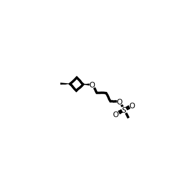 CS(=O)(=O)OCCCO[C@H]1C[C@@H](C)C1